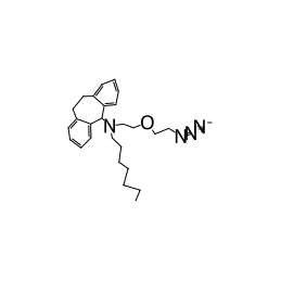 CCCCCCCN(CCOCCN=[N+]=[N-])C1c2ccccc2CCc2ccccc21